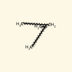 C=CCC(CCCCCCCCCCCCCCCCCC)OC(CC=C)CCCCCCCCCCCCCCCCCC